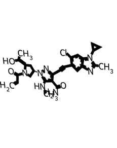 C=CC(=O)N1C[C@@H](n2nc(C#Cc3cc4nc(C)n(C5CC5)c4cc3Cl)c(C(N)=O)c2NC)C/C1=C(\C)O